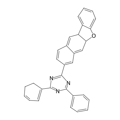 C1=CCCC(c2nc(-c3ccccc3)nc(-c3ccc4c(c3)=CC3Oc5ccccc5C3C=4)n2)=C1